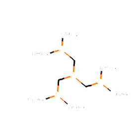 CCCCCCP(CCCCCC)CP(CP(CCCCCC)CCCCCC)CP(CCCCCC)CCCCCC